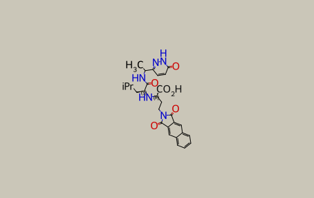 CC(C)C[C@H](N[C@H](CCN1C(=O)c2cc3ccccc3cc2C1=O)C(=O)O)C(=O)NC(C)c1ccc(=O)[nH]n1